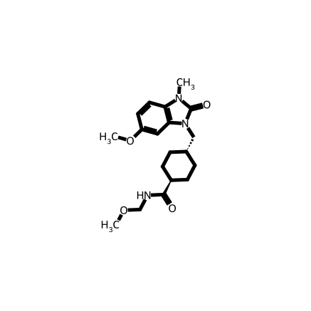 COCNC(=O)[C@H]1CC[C@H](Cn2c(=O)n(C)c3ccc(OC)cc32)CC1